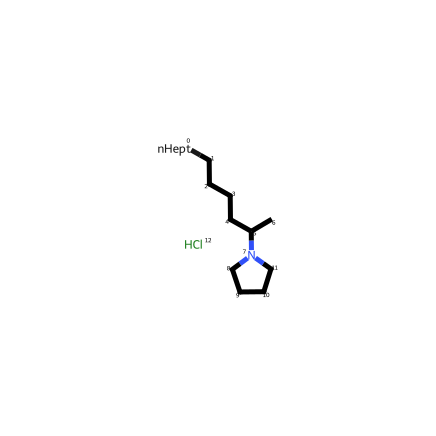 CCCCCCCCCCCC(C)N1CCCC1.Cl